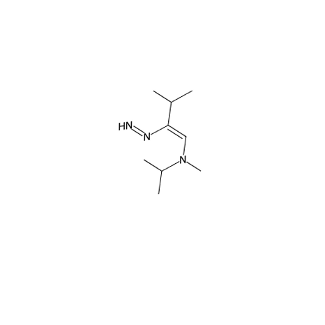 CC(C)/C(=C/N(C)C(C)C)N=N